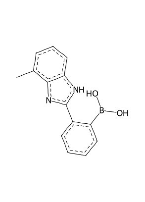 Cc1cccc2[nH]c(-c3ccccc3B(O)O)nc12